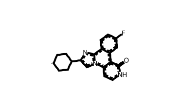 O=c1[nH]ccc2c1c1cc(F)ccc1c1nc(C3CC[CH]CC3)cn21